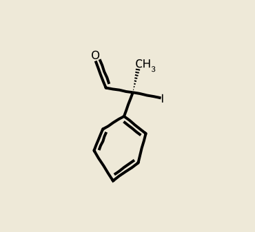 C[C@@](I)(C=O)c1ccccc1